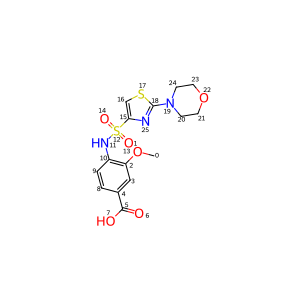 COc1cc(C(=O)O)ccc1NS(=O)(=O)c1csc(N2CCOCC2)n1